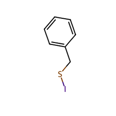 ISCc1ccccc1